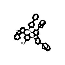 Cc1cc2c3c(c1)-n1c4ccc(C56CC7CC(CC(C7)C5)C6)cc4c4cc(C56CC7CC(CC(C7)C5)C6)cc(c41)B3N(c1ccc(-c3ccccc3)cc1)c1ccc3oc4ccccc4c3c1-2